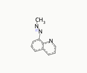 C/N=N/c1cccc2cccnc12